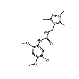 COc1cc(OC)c(NC(=O)NCc2c(C)nn(C)c2C)cc1Cl